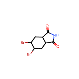 O=C1NC(=O)C2CC(Br)C(Br)CC12